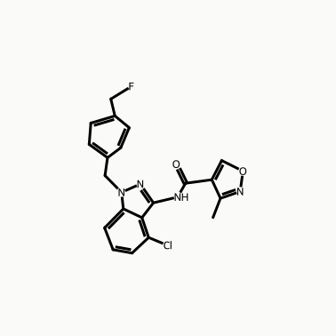 Cc1nocc1C(=O)Nc1nn(Cc2ccc(CF)cc2)c2cccc(Cl)c12